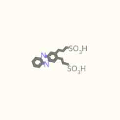 O=S(=O)(O)CCCc1cc2nc3ccccc3nc2cc1CCCS(=O)(=O)O